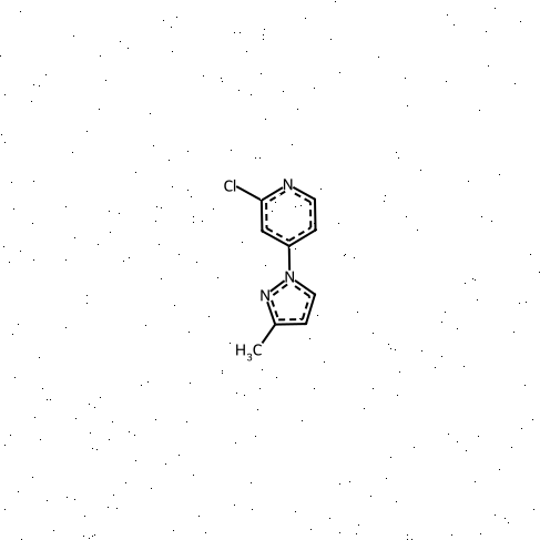 Cc1ccn(-c2ccnc(Cl)c2)n1